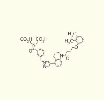 Cc1cccc(OCCCC(=O)N2CCCc3c(-c4cnn(Cc5cccc(C(=O)N(CC(=O)O)CC(=O)O)c5)c4)cccc32)c1C